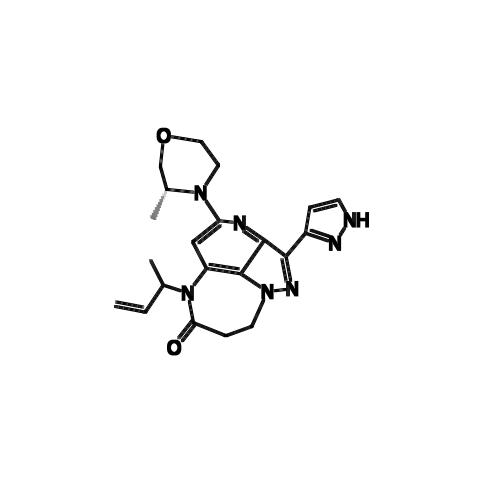 C=CC(C)N1C(=O)CCn2nc(-c3cc[nH]n3)c3nc(N4CCOC[C@H]4C)cc1c32